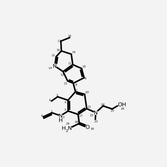 C=CNc1c(CC)c(-c2ccc3c(c2)N=CC(CC)C3)cc(N(C)CCO)c1C(N)=O